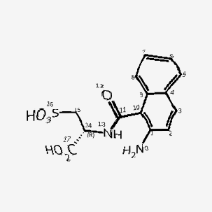 Nc1ccc2ccccc2c1C(=O)N[C@@H](CS(=O)(=O)O)C(=O)O